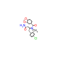 CN(C(=O)c1ccc2c(c1)OCO2)[C@H](CC(N)=O)Cc1ccc(Cl)cc1